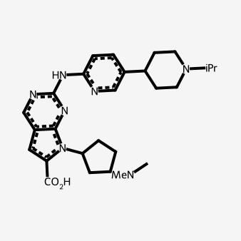 CC(C)N1CCC(c2ccc(Nc3ncc4cc(C(=O)O)n(C5CCCC5)c4n3)nc2)CC1.CNC